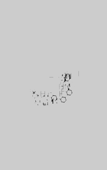 COc1nc(-c2cccc(-c3cccc(NC(=O)c4cn(C)c(=O)n(C)c4=O)c3F)c2F)cc2c1[C@H](NCC[C@@H]1CCC(=O)N1)CC2